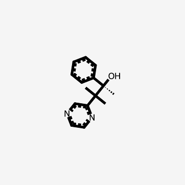 CC(C)(c1cnccn1)[C@](C)(O)c1ccccc1